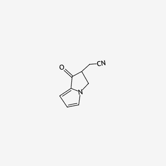 N#CCC1Cn2cccc2C1=O